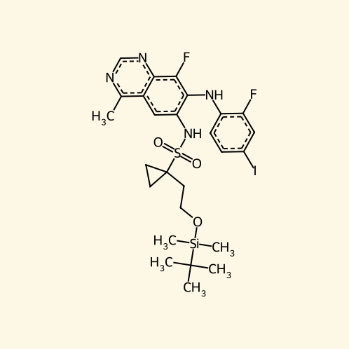 Cc1ncnc2c(F)c(Nc3ccc(I)cc3F)c(NS(=O)(=O)C3(CCO[Si](C)(C)C(C)(C)C)CC3)cc12